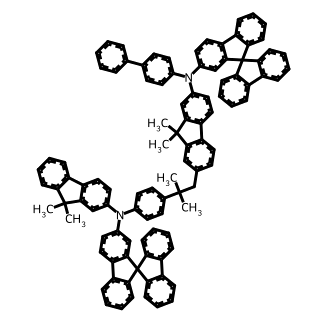 CC(C)(Cc1ccc2c(c1)C(C)(C)c1cc(N(c3ccc(-c4ccccc4)cc3)c3ccc4c(c3)C3(c5ccccc5-c5ccccc53)c3ccccc3-4)ccc1-2)c1ccc(N(c2ccc3c(c2)C(C)(C)c2ccccc2-3)c2ccc3c(c2)C2(c4ccccc4-c4ccccc42)c2ccccc2-3)cc1